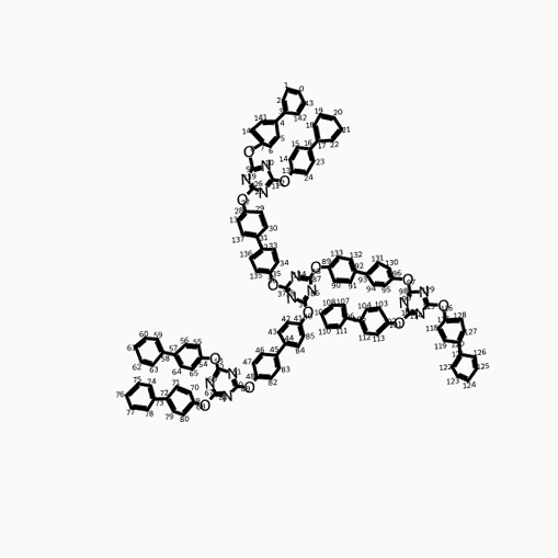 c1ccc(-c2ccc(Oc3nc(Oc4ccc(-c5ccccc5)cc4)nc(Oc4ccc(-c5ccc(Oc6nc(Oc7ccc(-c8ccc(Oc9nc(Oc%10ccc(-c%11ccccc%11)cc%10)nc(Oc%10ccc(-c%11ccccc%11)cc%10)n9)cc8)cc7)nc(Oc7ccc(-c8ccc(Oc9nc(Oc%10ccc(-c%11ccccc%11)cc%10)nc(Oc%10ccc(-c%11ccccc%11)cc%10)n9)cc8)cc7)n6)cc5)cc4)n3)cc2)cc1